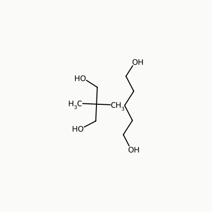 CC(C)(CO)CO.OCCCCCO